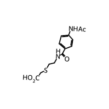 CC(=O)Nc1ccc(C(=O)NCCSCC(=O)O)cc1